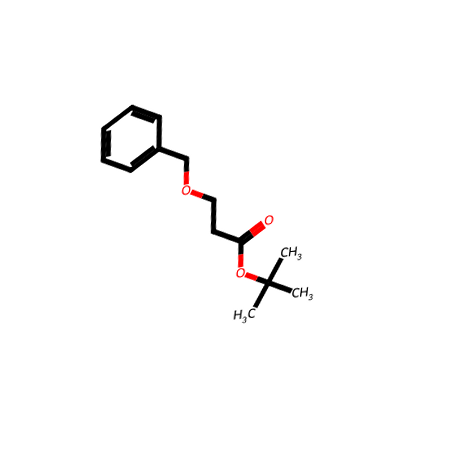 CC(C)(C)OC(=O)CCOCc1ccccc1